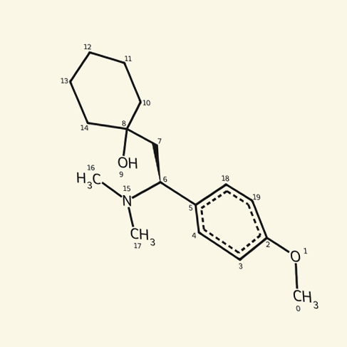 COc1ccc([C@H](CC2(O)CCCCC2)N(C)C)cc1